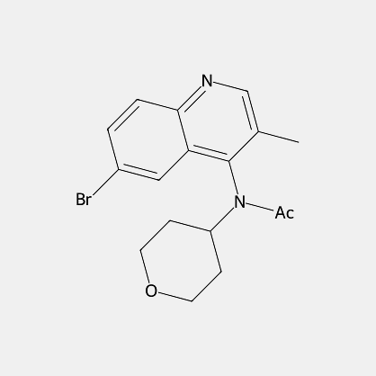 CC(=O)N(c1c(C)cnc2ccc(Br)cc12)C1CCOCC1